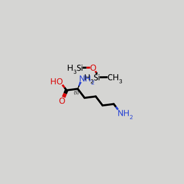 C[SiH2]O[SiH3].NCCCC[C@H](N)C(=O)O